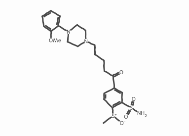 COc1ccccc1N1CCN(CCCCC(=O)c2ccc([S+](C)[O-])c(S(N)(=O)=O)c2)CC1